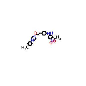 Cc1ccc(N2CCN(C(=O)CCC3CCC(Nc4ccc([N+](=O)[O-])c(C)c4)CC3)CC2)cc1